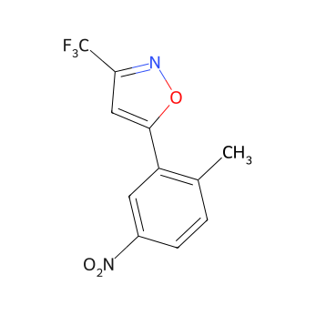 Cc1ccc([N+](=O)[O-])cc1-c1cc(C(F)(F)F)no1